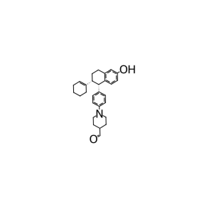 O=CC1CCN(c2ccc([C@H]3c4ccc(O)cc4CC[C@H]3C3=CCCCC3)cc2)CC1